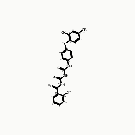 O=C(NC(=O)Nc1ccc(Oc2ccc(C(F)(F)F)cc2Cl)cc1)NC(=O)c1ccccc1Cl